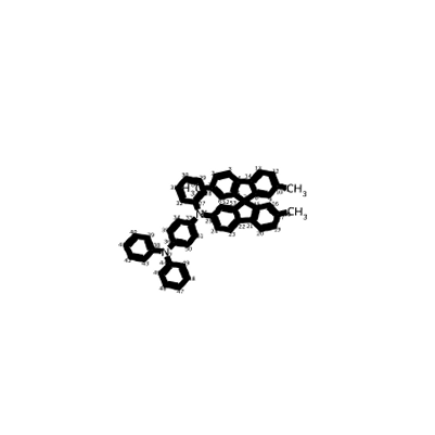 Cc1ccc2c(c1)C1(c3cc(C)ccc3-2)c2cc(C)ccc2-c2ccc(N(c3ccccc3)c3ccc(N(c4ccccc4)c4ccccc4)cc3)cc21